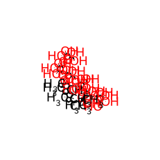 C[C@H](CC[C@@H](O[C@@H]1O[C@H](CO[C@@H]2O[C@H](CO)[C@@H](O)[C@H](O)[C@H]2O)[C@@H](O)[C@H](O)[C@H]1O[C@H]1O[C@@H](CO)[C@H](O)[C@@H](O)[C@@H]1O)C(C)(C)O)C1CC[C@@]2(C)C3CC=C4C(CC[C@H](O[C@@H]5O[C@H](CO)[C@@H](O)[C@H](O)[C@H]5OC5O[C@@H](CO[C@@H]6O[C@H](CO)[C@@H](O)[C@H](O)[C@H]6O)[C@H](O)[C@@H](O)[C@@H]5O)C4(C)C)[C@]3(C)[C@H](O)C[C@]12C